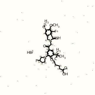 Br.COc1cc2c(c(F)c1OC)C(=N)N(CC(=O)c1cc(N3CCC(F)C3)c(OCCCCC(=O)O)c(C(C)(C)C)c1)C2